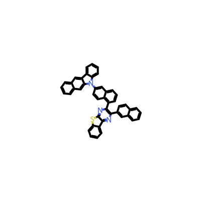 c1ccc2cc(-c3nc4c(nc3-c3cccc5cc(-n6c7ccccc7c7cc8ccccc8cc76)ccc35)sc3ccccc34)ccc2c1